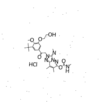 C/N=c1\n(CC(=O)c2cc(OCCO)c(OC)c(C(C)(C)C)c2)nc2c(C)c(C)c(OC(=O)NC)nn12.Cl